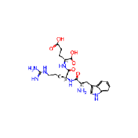 N=C(N)NCCC[C@H](NC(=O)[C@@H](N)Cc1c[nH]c2ccccc12)C(=O)N[C@@H](CCC(=O)O)C(=O)O